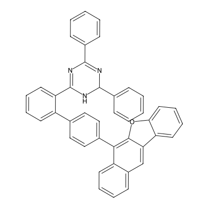 c1ccc(C2=NC(c3ccccc3)NC(c3ccccc3-c3ccc(-c4c5ccccc5cc5c4oc4ccccc45)cc3)=N2)cc1